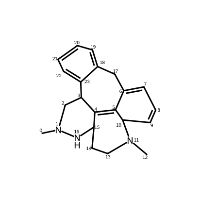 CN1CC2C3=C4C(=CC=CC4N(C)CCC3N1)Cc1ccccc12